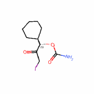 NC(=O)O[C@H](C(=O)CI)C1CCCCC1